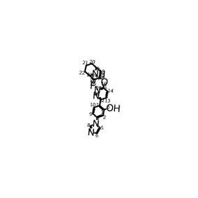 Oc1cc(-n2ccnc2)ccc1-c1ccc(O[C@@H]2CC3CCCC(N3)[C@@H]2F)nn1